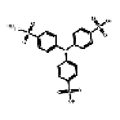 O=S(=O)(O)c1ccc(P(c2ccc(S(=O)(=O)O)cc2)c2ccc(S(=O)(=O)O)cc2)cc1.[LiH]